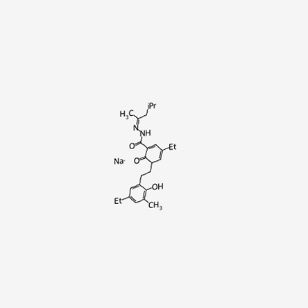 CCC1=CC(CCc2cc(CC)cc(C)c2O)C(=O)C(C(=O)NN=C(C)CC(C)C)=C1.[Na]